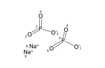 O=P(=O)[O-].O=P(=O)[O-].[Na+].[Na+]